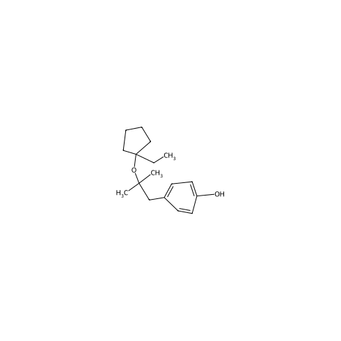 CCC1(OC(C)(C)Cc2ccc(O)cc2)CCCC1